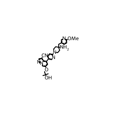 COc1ccc(CC2(N)CCN(c3ccc(-c4cc(OCC(C)(C)O)cn5ncc(C#N)c45)cn3)CC2)cn1